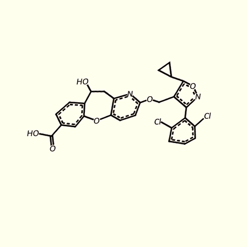 O=C(O)c1ccc2c(c1)Oc1ccc(OCc3c(-c4c(Cl)cccc4Cl)noc3C3CC3)nc1CC2O